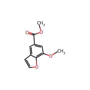 COC(=O)c1cc(OC)c2occc2c1